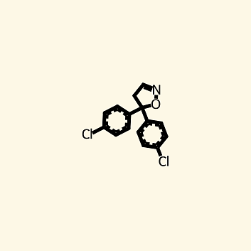 Clc1ccc(C2(c3ccc(Cl)cc3)CC=NO2)cc1